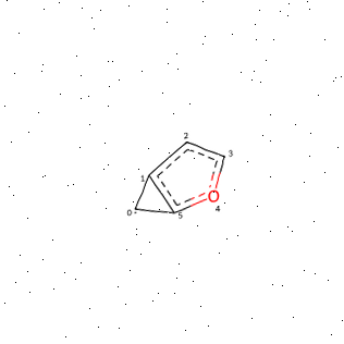 [CH]1c2ccoc21